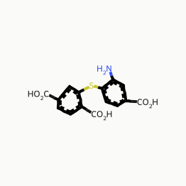 Nc1cc(C(=O)O)ccc1Sc1cc(C(=O)O)ccc1C(=O)O